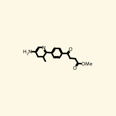 COC(=O)CCC(=O)c1ccc(C2=NC=C(N)CC2C)cc1